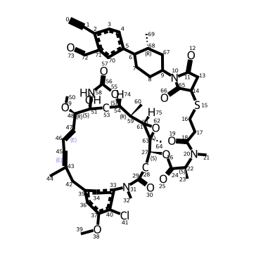 C#Cc1ccc(C2CCC(N3C(=O)CC(SCCC(=O)N(C)[C@@H](C)C(=O)O[C@H]4CC(=O)N(C)c5cc(cc(OC)c5Cl)C/C(C)=C/C=C/[C@@H](OC)[C@@]5(O)C[C@H](OC(=O)N5)[C@@H](C)[C@@H]5O[C@@]45C)C3=O)C[C@H]2C)cc1C=O